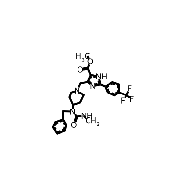 CNC(=O)N(Cc1ccccc1)C1CCN(Cc2nc(-c3ccc(C(F)(F)F)cc3)[nH]c2C(=O)OC)CC1